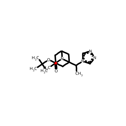 CC1CC2CC(C(C)n3cnnc3)(C1)N2C(=O)OC(C)(C)C